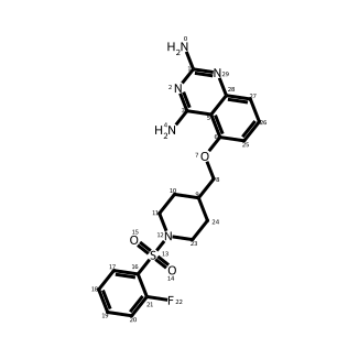 Nc1nc(N)c2c(OCC3CCN(S(=O)(=O)c4ccccc4F)CC3)cccc2n1